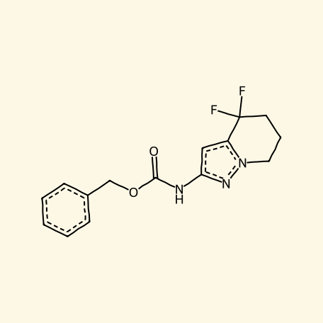 O=C(Nc1cc2n(n1)CCCC2(F)F)OCc1ccccc1